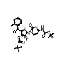 [CH2]c1ccccc1C([O])[C@H]1S[C@@H](n2ccc(NC(=O)OC(C)(C)C)nc2=O)[C@@H](F)[C@@H]1OC(=O)OC(C)(C)C